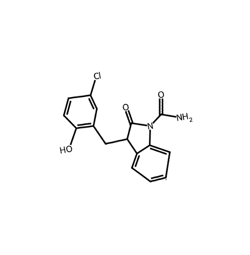 NC(=O)N1C(=O)C(Cc2cc(Cl)ccc2O)c2cc[c]cc21